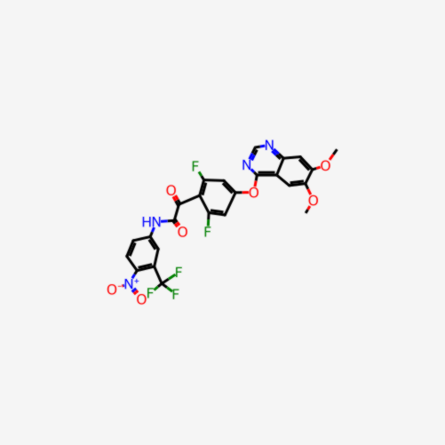 COc1cc2ncnc(Oc3cc(F)c(C(=O)C(=O)Nc4ccc([N+](=O)[O-])c(C(F)(F)F)c4)c(F)c3)c2cc1OC